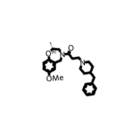 COc1ccc2c(c1)CN(C(=O)CCN1CCC(Cc3ccccc3)CC1)C[C@@H](C)O2